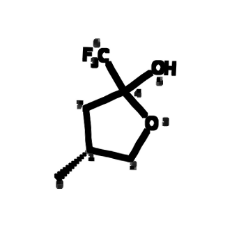 C[C@H]1COC(O)(C(F)(F)F)C1